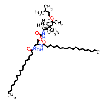 CCCCCCCCCCCCCCCCCC(=O)NCC(COC(=O)NCC(C)(C)C(C)(C)CC(C)(C)OCCC(C)C)NC(=O)CCCCCCCCCCCCCCCCC